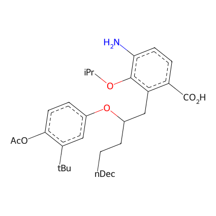 CCCCCCCCCCCCC(Cc1c(C(=O)O)ccc(N)c1OC(C)C)Oc1ccc(OC(C)=O)c(C(C)(C)C)c1